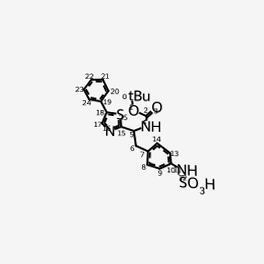 CC(C)(C)OC(=O)NC(Cc1ccc(NS(=O)(=O)O)cc1)c1ncc(-c2ccccc2)s1